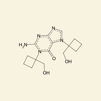 Nc1nc2ncn(C3(CO)CCC3)c2c(=O)n1C1(CO)CCC1